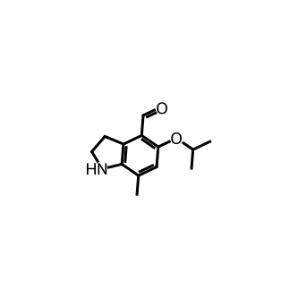 Cc1cc(OC(C)C)c(C=O)c2c1NCC2